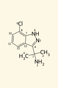 CC(C)(N)c1n[nH]c2c(Cl)cccc12